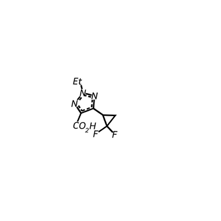 CCn1nc(C(=O)O)c(C2CC2(F)F)n1